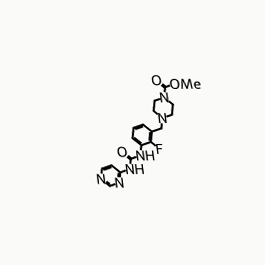 COC(=O)N1CCN(Cc2cccc(NC(=O)Nc3ccncn3)c2F)CC1